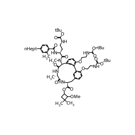 CCCCCCCc1ccc(C(=O)N[C@@H](CCNC(=O)OC(C)(C)C)C(=O)N(C)[C@@H]2C(=O)N[C@@H](C)C(=O)N[C@H](C(=O)OC3CC(C)(C)C3OC)Cc3ccc(OCCNC(=O)OC(C)(C)C)c(c3)-c3cc2ccc3OCCNC(=O)OC(C)(C)C)c(C)c1